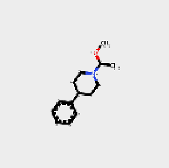 COC(C)N1CCC(c2ccccc2)CC1